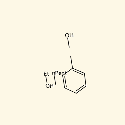 CCCCCC.CCO.CO.Cc1ccccc1